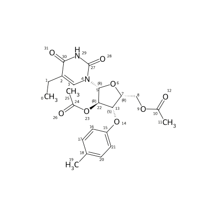 CCc1cn([C@@H]2O[C@H](COC(C)=O)[C@H](Oc3ccc(C)cc3)[C@H]2OC(C)=O)c(=O)[nH]c1=O